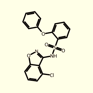 O=S(=O)(Nc1noc2cccc(Cl)c12)c1ccccc1Oc1ccccc1